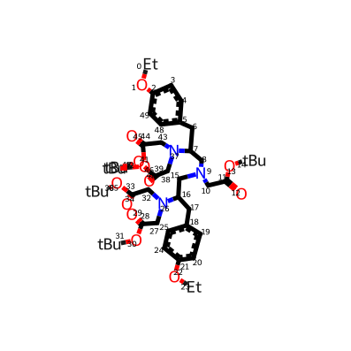 CCOc1ccc(CC(CN(CC(=O)OC(C)(C)C)CC(Cc2ccc(OCC)cc2)N(CC(=O)OC(C)(C)C)CC(=O)OC(C)(C)C)N(CC(=O)OC(C)(C)C)CC(=O)OC(C)(C)C)cc1